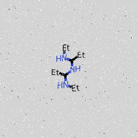 CCNC(CC)NC(CC)NCC